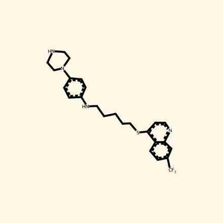 FC(F)(F)c1ccc2c(SCCCCCNc3ccc(N4CCNCC4)cc3)ccnc2c1